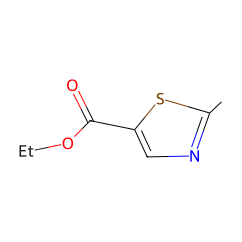 CCOC(=O)c1cnc(C)s1